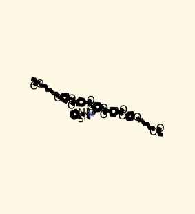 C=CC(=O)OCCCCCCOc1ccc(OC(=O)C2CCC(C(=O)Oc3ccc(OC(=O)C4CCC(C(=O)Oc5ccc(OCCCCCCOC(=O)C=C)cc5)CC4)c(/C=N/N(C)c4nc5ccccc5s4)c3)CC2)cc1